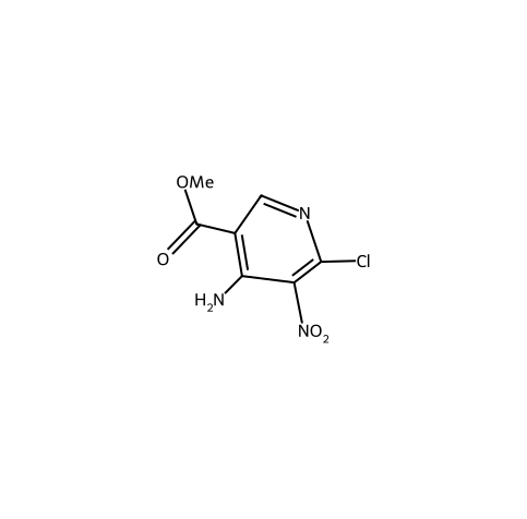 COC(=O)c1cnc(Cl)c([N+](=O)[O-])c1N